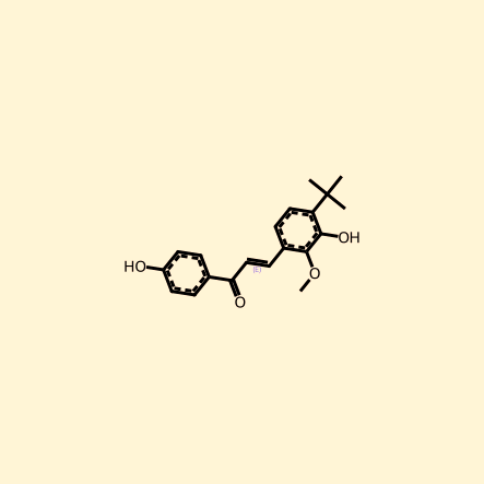 COc1c(/C=C/C(=O)c2ccc(O)cc2)ccc(C(C)(C)C)c1O